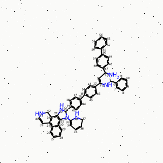 NC(/C=C(\NCc1ccccc1)c1ccc(-c2ccc(C3Nc4c5c(c6ccccc6c4N3C3=CC=CCN3)C=CNC5)cc2)cc1)c1ccc(-c2ccccc2)cc1